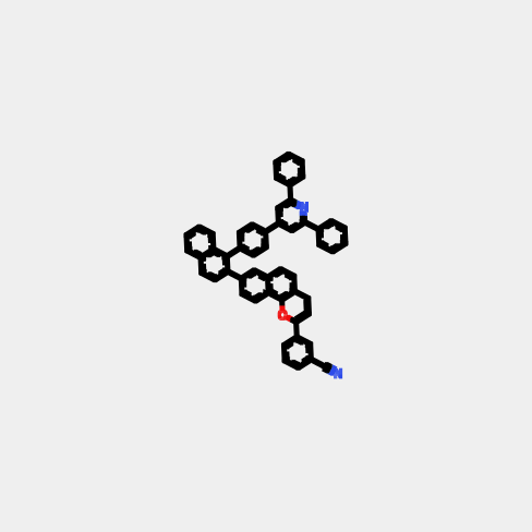 N#Cc1cccc(C2=C=Cc3ccc4cc(-c5ccc6ccccc6c5-c5ccc(-c6cc(-c7ccccc7)nc(-c7ccccc7)c6)cc5)ccc4c3O2)c1